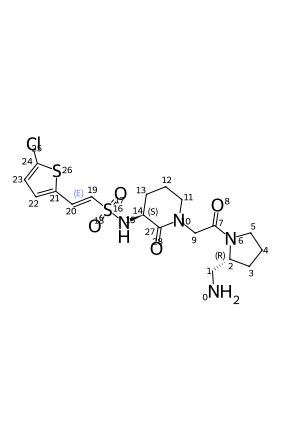 NC[C@H]1CCCN1C(=O)CN1CCC[C@H](NS(=O)(=O)/C=C/c2ccc(Cl)s2)C1=O